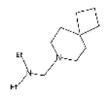 CCN(CC)CN1CCC2(CCC2)CC1